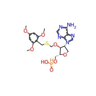 COc1cc(OC)c(CSCO[C@H]2[C@H](n3cnc4c(N)ncnc43)CO[C@@H]2CO[PH](=O)O)c(OC)c1